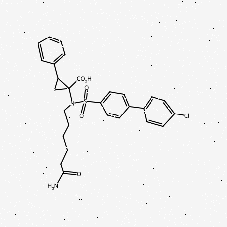 NC(=O)CCCCCN(C1(C(=O)O)CC1c1ccccc1)S(=O)(=O)c1ccc(-c2ccc(Cl)cc2)cc1